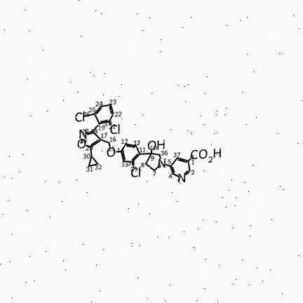 O=C(O)c1cncc(N2CCC(O)(c3ccc(OCc4c(-c5c(Cl)cccc5Cl)noc4C4CC4)cc3Cl)C2)c1